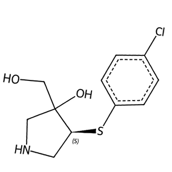 OCC1(O)CNC[C@@H]1Sc1ccc(Cl)cc1